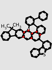 CC1(C)c2ccccc2-c2ccc(N(c3ccc(-c4cccc5sc6ccccc6c45)cc3)c3cccc(-c4ccccc4)c3-c3ccccc3-c3ccccc3)cc21